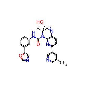 O=C(Nc1cccc(-c2cnco2)c1)N1c2nc(-c3cncc(C(F)(F)F)c3)ccc2N2C[C@@H](O)[C@H]1C2